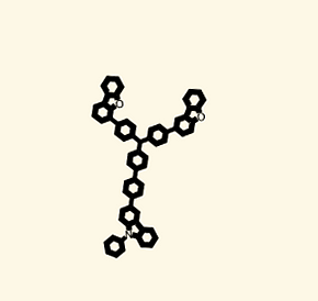 c1ccc(-n2c3ccccc3c3cc(-c4ccc(-c5ccc(C(c6ccc(-c7ccc8oc9ccccc9c8c7)cc6)c6ccc(-c7cccc8c7oc7ccccc78)cc6)cc5)cc4)ccc32)cc1